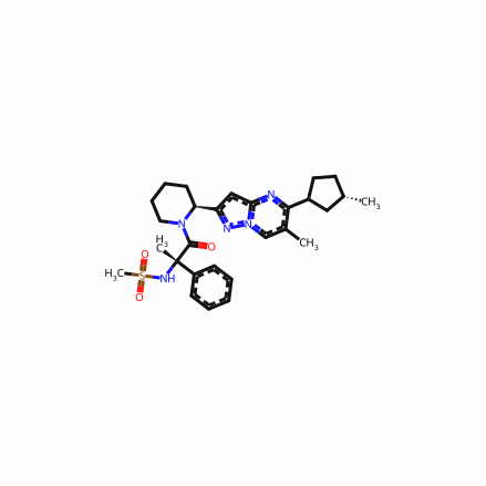 Cc1cn2nc([C@@H]3CCCCN3C(=O)[C@@](C)(NS(C)(=O)=O)c3ccccc3)cc2nc1C1CC[C@H](C)C1